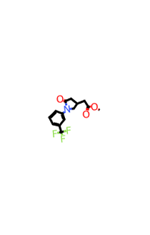 COC(=O)CC1CC(=O)N(c2cccc(C(F)(F)F)c2)C1